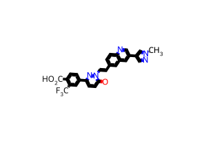 Cn1cc(-c2cnc3ccc(C=Cn4nc(-c5ccc(C(=O)O)c(C(F)(F)F)c5)ccc4=O)cc3c2)cn1